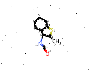 Cc1sc2ccccc2c1N=C=O